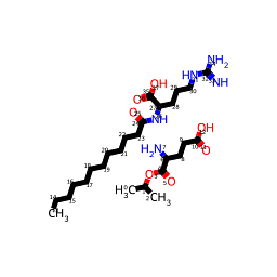 CC(C)OC(=O)C(N)CCC(=O)O.CCCCCCCCCCCC(=O)NC(CCCNC(=N)N)C(=O)O